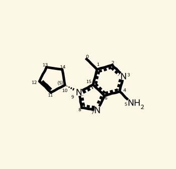 Cc1cnc(N)c2ncn([C@@H]3C=CCC3)c12